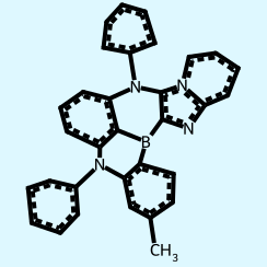 Cc1ccc2c(c1)N(c1ccccc1)c1cccc3c1B2c1nc2ccccn2c1N3c1ccccc1